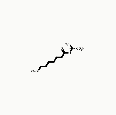 CCCCCCCCCCCCCCCC(=O)O[C@H](C)C(=O)O